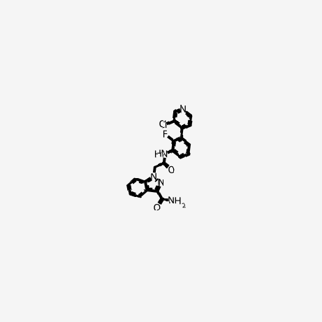 NC(=O)c1nn(CC(=O)Nc2cccc(-c3ccncc3Cl)c2F)c2ccccc12